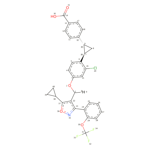 [2H]C(Oc1ccc([C@@H]2C[C@H]2c2ccc(C(=O)O)cc2)c(Cl)c1)c1c(-c2ccccc2OC(F)(F)F)noc1C1CC1